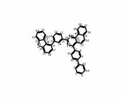 c1ccc(-c2ccc(-c3nc(-c4cccc(-c5cccc6sc7ccccc7c56)c4)nc4c3ccc3ccccc34)cc2)cc1